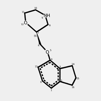 c1cc2c(c(OC[C@@H]3CNCCO3)c1)CCC2